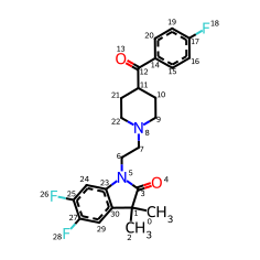 CC1(C)C(=O)N(CCN2CCC(C(=O)c3ccc(F)cc3)CC2)c2cc(F)c(F)cc21